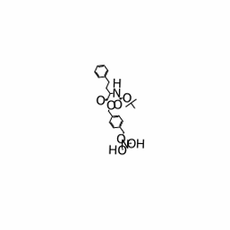 CC(C)(C)OC(=O)NC(CCc1ccccc1)C(=O)OCc1ccc(CON(O)O)cc1